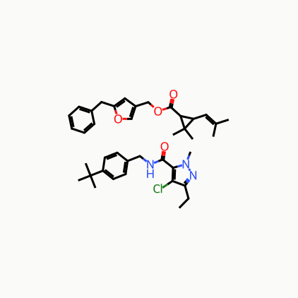 CC(C)=CC1C(C(=O)OCc2coc(Cc3ccccc3)c2)C1(C)C.CCc1nn(C)c(C(=O)NCc2ccc(C(C)(C)C)cc2)c1Cl